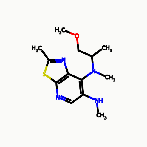 CNc1cnc2sc(C)nc2c1N(C)C(C)COC